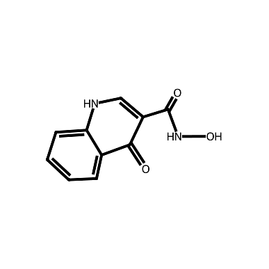 O=C(NO)c1c[nH]c2ccccc2c1=O